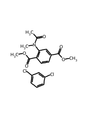 COC(=O)c1ccc(C(=O)OC)c(N(C)C(C)=O)c1.Clc1cccc(Cl)c1